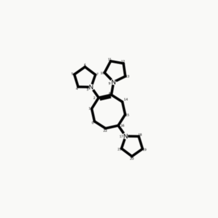 C1CC(N2CCCC2)=C(N2CCCC2)CCC(N2CCCC2)C1